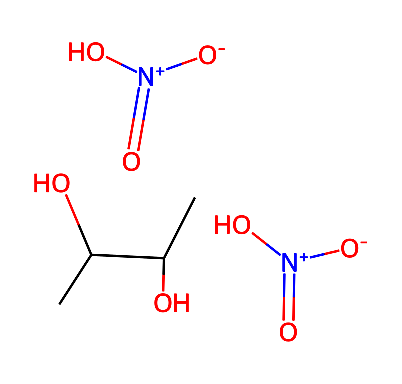 CC(O)C(C)O.O=[N+]([O-])O.O=[N+]([O-])O